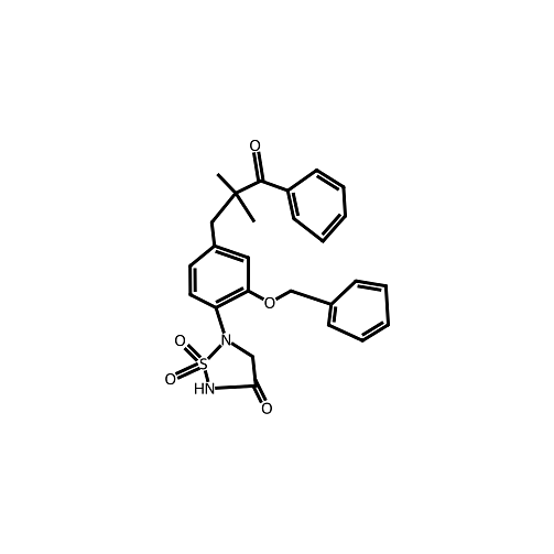 CC(C)(Cc1ccc(N2CC(=O)NS2(=O)=O)c(OCc2ccccc2)c1)C(=O)c1ccccc1